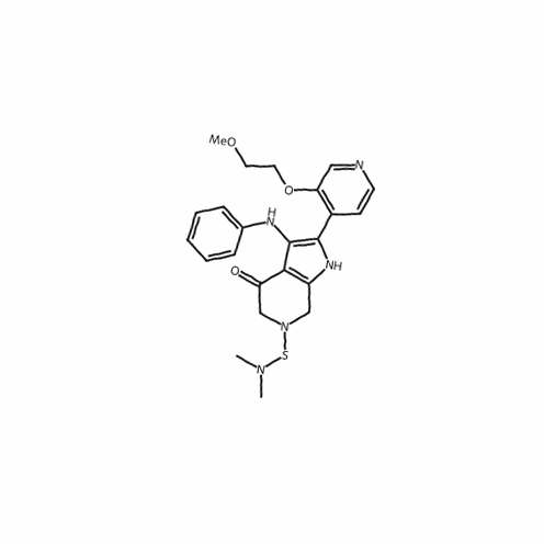 COCCOc1cnccc1-c1[nH]c2c(c1Nc1ccccc1)C(=O)CN(SN(C)C)C2